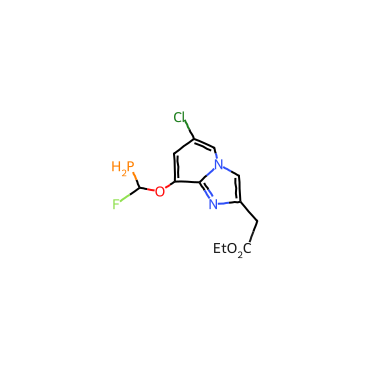 CCOC(=O)Cc1cn2cc(Cl)cc(OC(F)P)c2n1